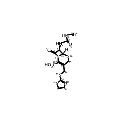 CC(C)NC(=O)NC1C(=O)N2C(C(=O)O)=C(CSC3=NCCS3)CS[C@@H]12